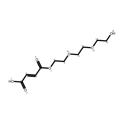 O=C(O)/C=C/C(=O)OCCOCCOCCO